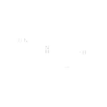 CC(O)CNCN